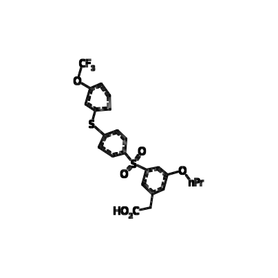 CCCOc1cc(CC(=O)O)cc(S(=O)(=O)c2ccc(Sc3cccc(OC(F)(F)F)c3)cc2)c1